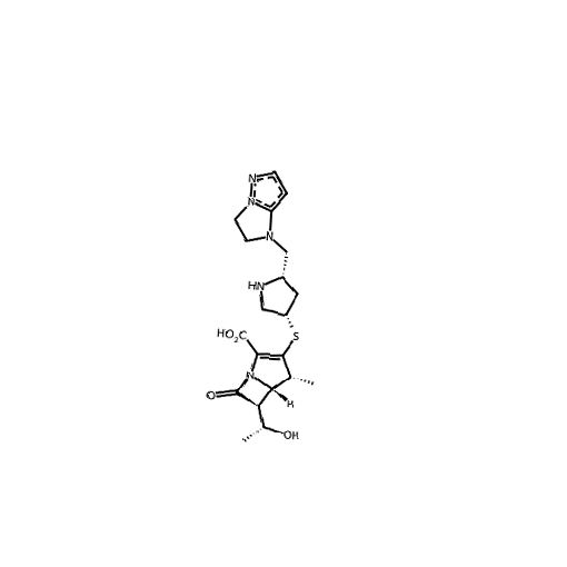 C[C@@H](O)[C@H]1C(=O)N2C(C(=O)O)=C(S[C@@H]3CN[C@H](CN4CCn5nccc54)C3)[C@H](C)[C@H]12